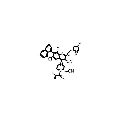 C=C(F)C(=O)N1CCN(C2=C(C#N)C(OC[C@@H]3C[C@@H](F)CN3C)=NC3C(F)=C(c4cccc5cccc(Cl)c45)C=CC23)C[C@@H]1CC#N